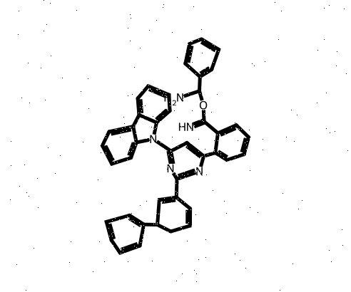 N=C(OC(N)c1ccccc1)c1ccccc1-c1cc(-n2c3ccccc3c3ccccc32)nc(C2=CC(c3ccccc3)CC=C2)n1